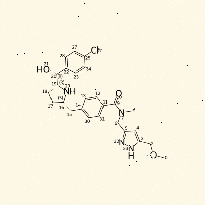 COCc1cc(CN(C)C(=O)c2ccc(C[C@@H]3CC[C@H]([C@H](O)c4ccc(Cl)cc4)N3)cc2)n[nH]1